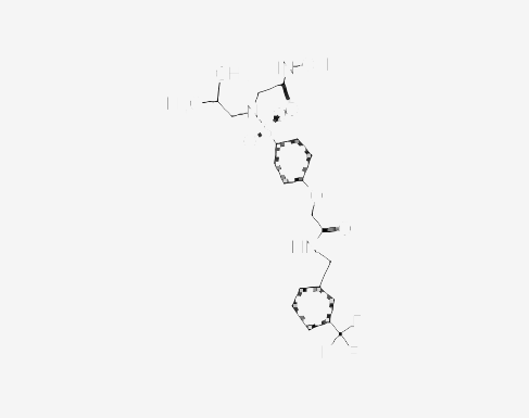 CC(C)CN(CC(=O)NO)S(=O)(=O)c1ccc(OCC(=O)NCc2cccc(C(F)(F)F)c2)cc1